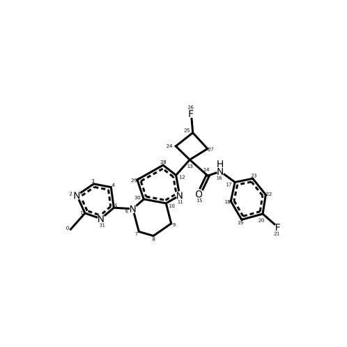 Cc1nccc(N2CCCc3nc(C4(C(=O)Nc5ccc(F)cc5)CC(F)C4)ccc32)n1